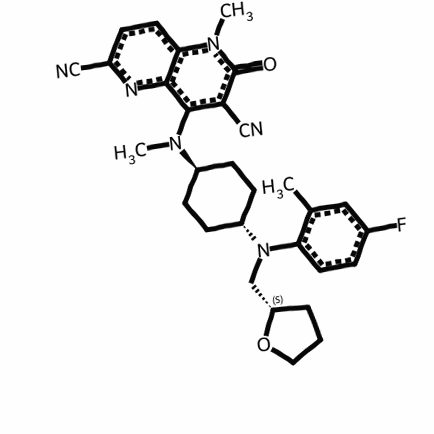 Cc1cc(F)ccc1N(C[C@@H]1CCCO1)[C@H]1CC[C@H](N(C)c2c(C#N)c(=O)n(C)c3ccc(C#N)nc23)CC1